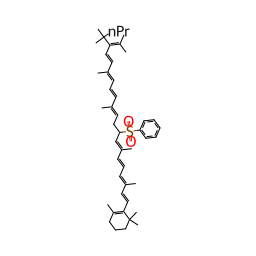 CCCC(C)(C)C(/C=C/C(C)=C/C=C/C(C)=C/CC(/C=C(C)/C=C/C=C(C)/C=C/C1=C(C)CCCC1(C)C)S(=O)(=O)c1ccccc1)=C(C)C